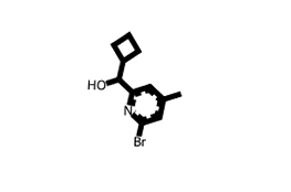 Cc1cc(Br)nc(C(O)C2CCC2)c1